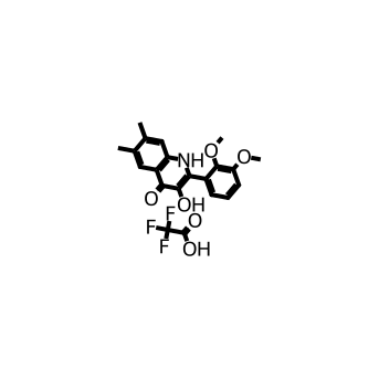 COc1cccc(-c2[nH]c3cc(C)c(C)cc3c(=O)c2O)c1OC.O=C(O)C(F)(F)F